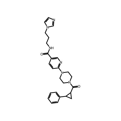 O=C(NCCCn1ccnc1)c1ccc(N2CCN(C(=O)C3CC3c3ccccc3)CC2)nc1